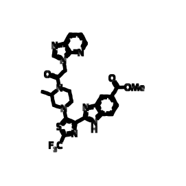 COC(=O)c1ccc2[nH]c(-c3nc(C(F)(F)F)sc3N3CCN(C(=O)Cn4cnc5cccnc54)C(C)C3)nc2c1